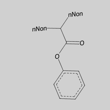 CCCCCCCCCC(CCCCCCCCC)C(=O)Oc1ccccc1